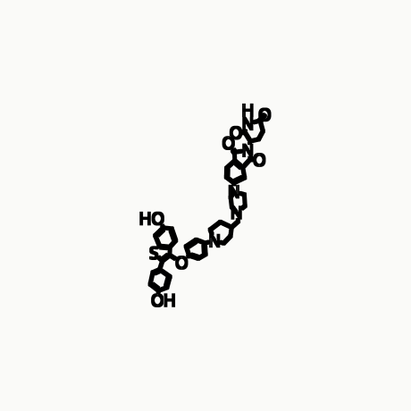 O=C1CCC(N2C(=O)c3ccc(N4CCN(CC5CCN(c6ccc(Oc7c(-c8ccc(O)cc8)sc8cc(O)ccc78)cc6)CC5)CC4)cc3C2=O)C(=O)N1